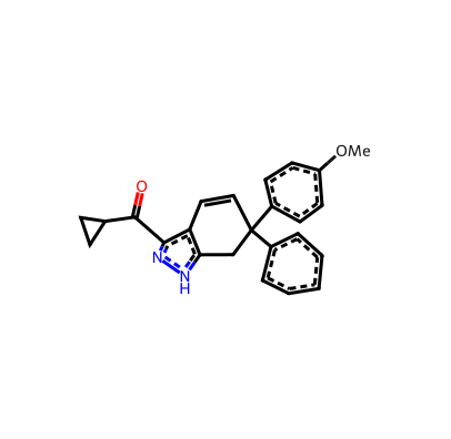 COc1ccc(C2(c3ccccc3)C=Cc3c(C(=O)C4CC4)n[nH]c3C2)cc1